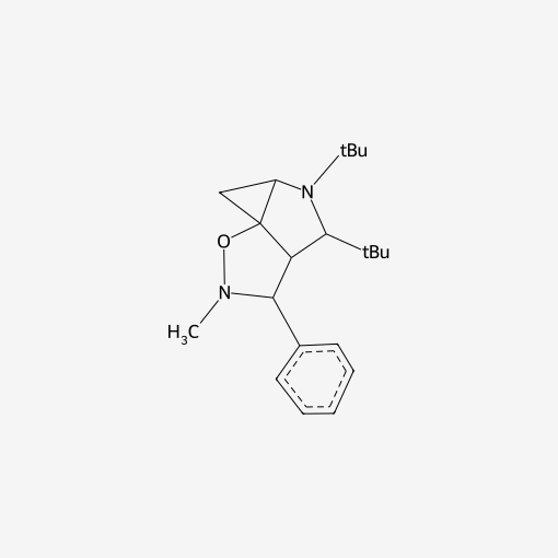 CN1OC23CC2N(C(C)(C)C)C(C(C)(C)C)C3C1c1ccccc1